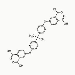 [CH2]C(C)(c1ccc(Oc2ccc(C(=O)O)c(C(=O)O)c2)cc1)c1ccc(Oc2ccc(C(=O)O)c(C(=O)O)c2)cc1